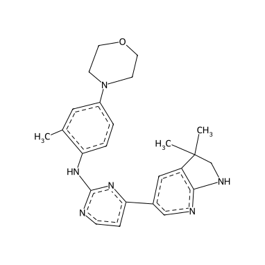 Cc1cc(N2CCOCC2)ccc1Nc1nccc(-c2cnc3c(c2)C(C)(C)CN3)n1